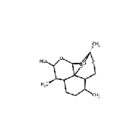 CC1CCC2[C@@H](C)C(O)OC3O[C@]4(C)CCC1C32OO4